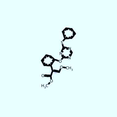 CO/C=C(/C(=O)OC)c1ccccc1Oc1ncnc(Sc2ccccc2)n1